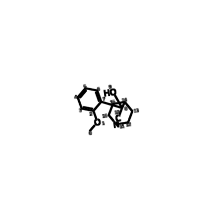 COc1ccccc1C1(O)CN2CCC1CC2